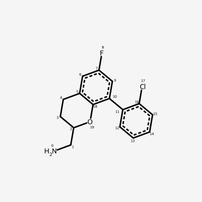 NCC1CCc2cc(F)cc(-c3ccccc3Cl)c2O1